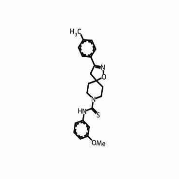 COc1cccc(NC(=S)N2CCC3(CC2)CC(c2ccc(C)cc2)=NO3)c1